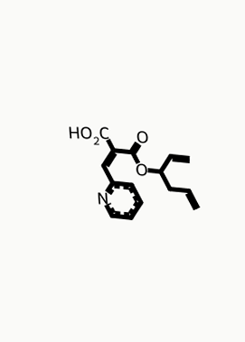 C=CCC(C=C)OC(=O)C(=Cc1ccccn1)C(=O)O